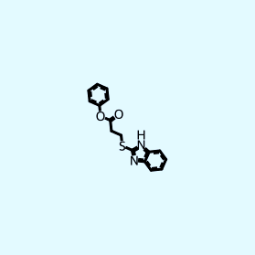 O=C(CCSc1nc2ccccc2[nH]1)Oc1ccccc1